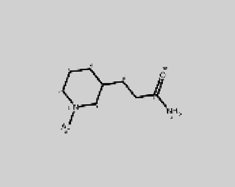 CC(=O)N1CCCC(CCC(N)=O)C1